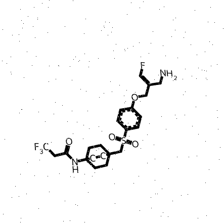 NCC(=CF)COc1ccc(S(=O)(=O)CC23CCC(NC(=O)CC(F)(F)F)(CC2)CC3)cc1